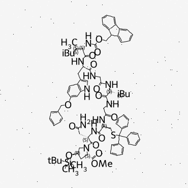 CC[C@H](C)[C@H](C)[C@H](NC(=O)OCC1c2ccccc2-c2ccccc21)C(=O)NC(Cc1c[nH]c2cc(OCc3ccccc3)ccc12)C(=O)NCC(=O)N[C@H](C(=O)NCC(=O)N[C@@H](CSC(c1ccccc1)(c1ccccc1)c1ccccc1)C(=O)N[C@@H](CC(N)=O)C(=O)N1C[C@H](O[Si](C)(C)C(C)(C)C)C[C@H]1C(=O)OC)[C@@H](C)CC